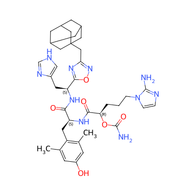 Cc1cc(O)cc(C)c1C[C@H](NC(=O)[C@@H](CCCn1ccnc1N)OC(N)=O)C(=O)N[C@@H](Cc1c[nH]cn1)c1nc(CC23CC4CC(CC(C4)C2)C3)no1